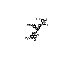 COc1ccc(S(=O)(=O)N(CCCNC2=CC(C)=NC3C(Cl)=CC(C)=CC23)CCCNC2c3ccc(C)nc3C(Cl)CC2C)cc1